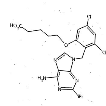 CC(C)c1nc(N)c2ncn(Cc3c(Cl)cc(Cl)cc3OCCCCC(=O)O)c2n1